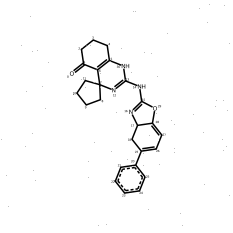 O=C1CCCC2=C1C1(CCCC1)N=C(NC1=NC3CC(c4ccccc4)=CC=C3O1)N2